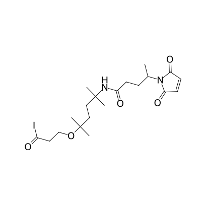 CC(CCC(=O)NC(C)(C)CCC(C)(C)OCCC(=O)I)N1C(=O)C=CC1=O